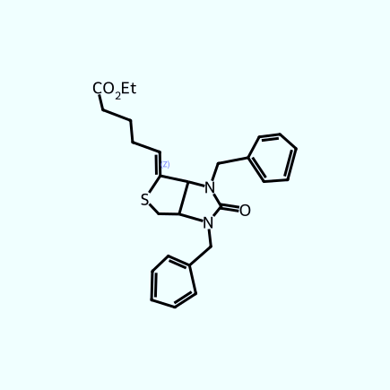 CCOC(=O)CCC/C=C1\SCC2C1N(Cc1ccccc1)C(=O)N2Cc1ccccc1